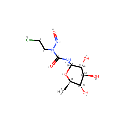 C[C@H]1O[C@@H](NC(=O)N(CCCl)N=O)[C@H](O)[C@@H](O)[C@@H]1O